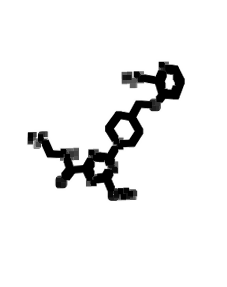 COc1nc(C(=O)NCC(F)(F)F)nc(N2CCC(COc3cccnc3N)CC2)n1